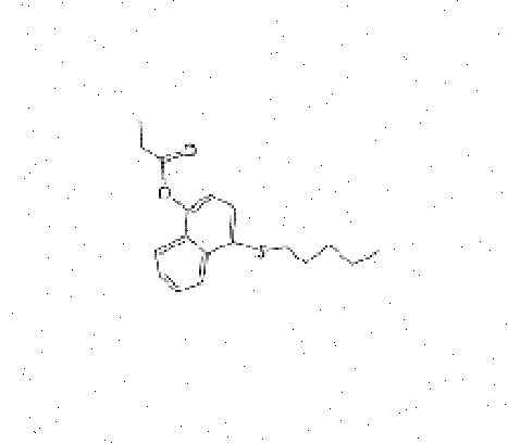 CCCCCSc1ccc(OC(=O)CC)c2ccccc12